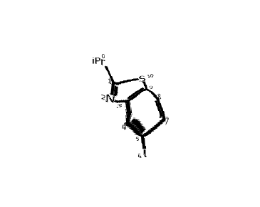 CC(C)c1nc2cc(I)ccc2s1